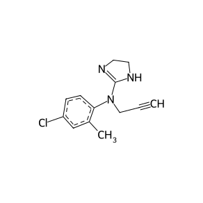 C#CCN(C1=NCCN1)c1ccc(Cl)cc1C